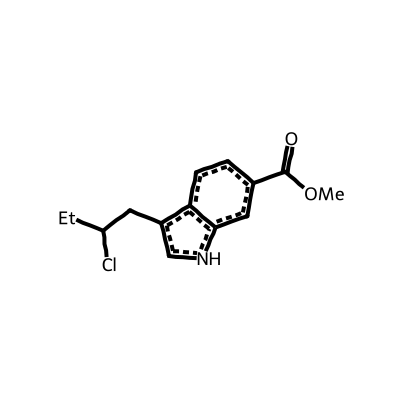 CCC(Cl)Cc1c[nH]c2cc(C(=O)OC)ccc12